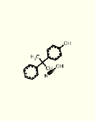 CC(C)(c1ccccc1)c1ccc(O)cc1.N#CO